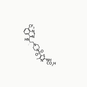 Cc1nc(NC(=O)O)sc1S(=O)(=O)N1CCN(C[C@H](C)Nc2ncnc3c(C(F)(F)F)cccc23)CC1